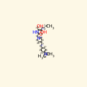 CC/C=C/[C@@H](O)[C@H](CO)NC(=O)C[n+]1ccc(/C=C/c2ccc(N(C)C)cc2)cc1